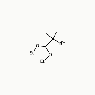 CCCC(C)(C)C(OCC)OCC